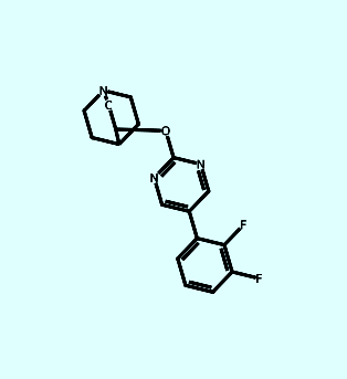 Fc1cccc(-c2cnc(OC3CN4CCC3CC4)nc2)c1F